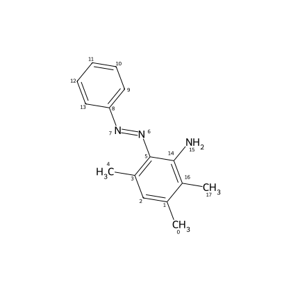 Cc1cc(C)c(/N=N/c2ccccc2)c(N)c1C